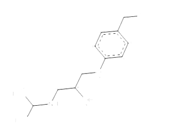 [CH2]Cc1ccc(OCC(O)CNC(C)C)cc1